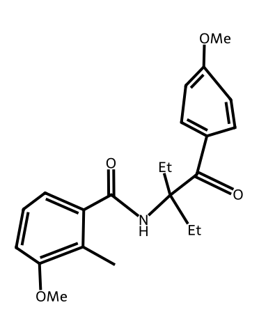 CCC(CC)(NC(=O)c1cccc(OC)c1C)C(=O)c1ccc(OC)cc1